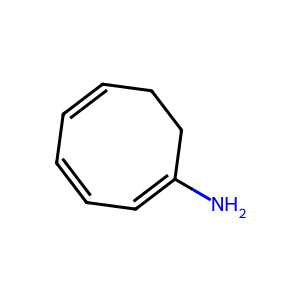 NC1=CC=CC=CCC1